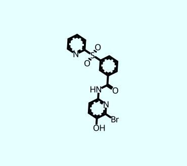 O=C(Nc1ccc(O)c(Br)n1)c1cccc(S(=O)(=O)c2ccccn2)c1